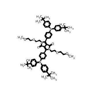 COCCOCCN1C(=O)C2=C(c3ccc(N(c4ccc(C(C)(C)C)cc4)c4ccc(C(C)(C)C)cc4)cc3)N(CCOCCOC)C(=O)C2=C1c1ccc(N(c2ccc(C(C)(C)C)cc2)c2ccc(C(C)(C)C)cc2)cc1